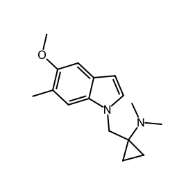 COc1cc2ccn(CC3(N(C)C)CC3)c2cc1C